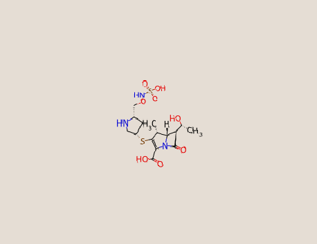 C[C@@H](O)[C@H]1C(=O)N2C(C(=O)O)=C(S[C@@H]3CN[C@H](CONS(=O)(=O)O)C3)[C@H](C)[C@H]12